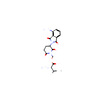 CC(C)[C@H](N)C(=O)OCN1C(=O)CCC(N2C(=O)c3cccc(N)c3C2=O)C1=O